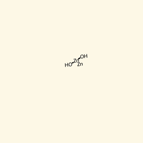 [OH][Zn][OH].[Zn]